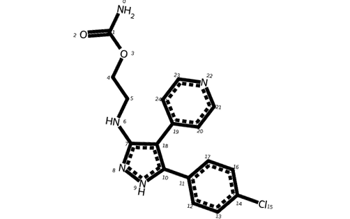 NC(=O)OCCNc1n[nH]c(-c2ccc(Cl)cc2)c1-c1ccncc1